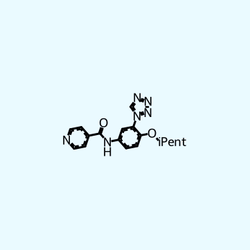 CCCC(C)Oc1ccc(NC(=O)c2ccncc2)cc1-n1cnnn1